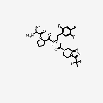 CC(C)C(N)C(=O)N1CCCC1C(=O)N[C@@H](CC(=O)N1CCn2c(nnc2C(C)(F)F)C1)Cc1cc(F)c(F)cc1F